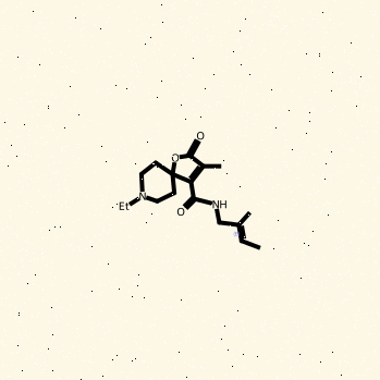 C/C=C(\C)CNC(=O)C1=C(C)C(=O)OC12CCN(CC)CC2